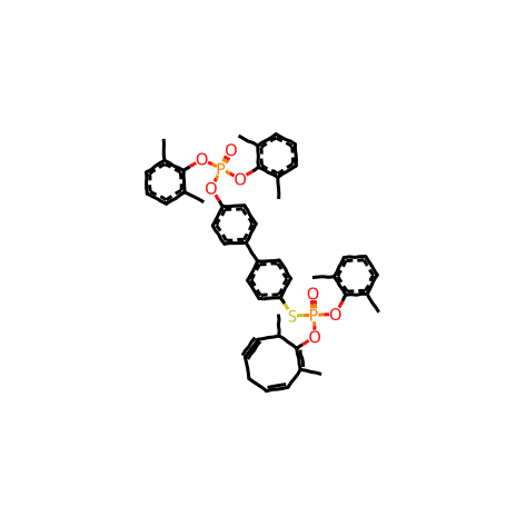 CC1=C(\OP(=O)(Oc2c(C)cccc2C)Sc2ccc(-c3ccc(OP(=O)(Oc4c(C)cccc4C)Oc4c(C)cccc4C)cc3)cc2)C(C)C#CC/C=C\1